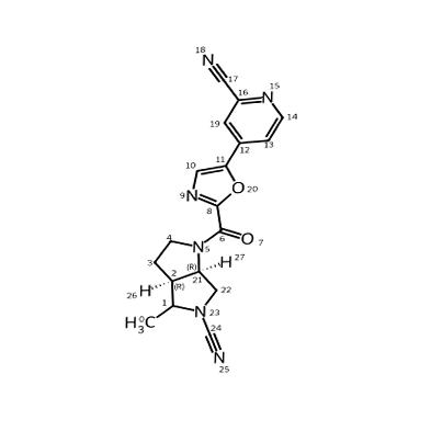 CC1[C@H]2CCN(C(=O)c3ncc(-c4ccnc(C#N)c4)o3)[C@H]2CN1C#N